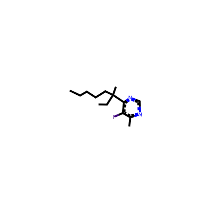 CCCCCC(C)(CC)c1ncnc(C)c1I